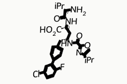 CC(C)c1coc(C(=O)N[C@H](Cc2ccc(-c3cc(Cl)ccc3F)cc2)C[C@@H](NC(=O)[C@@H](N)C(C)C)C(=O)O)n1